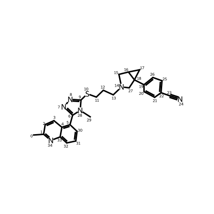 Cc1ccc2c(-c3nnc(SCCCN4CC5CC5(c5ccc(C#N)cc5)C4)n3C)cccc2n1